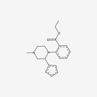 CCOC(=O)c1ccccc1N1CCN(C)CC1c1cccs1